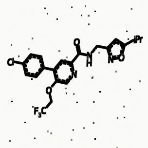 CC(C)c1cc(CNC(=O)c2cc(-c3ccc(Cl)cc3)c(OCC(F)(F)F)cn2)no1